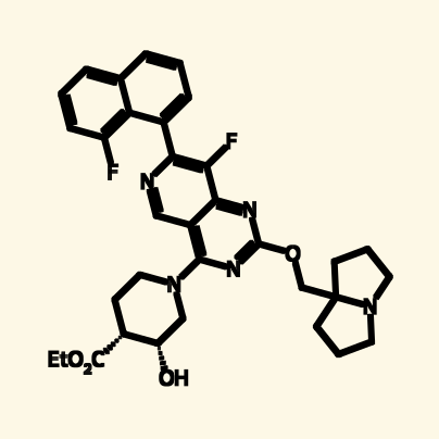 CCOC(=O)[C@@H]1CCN(c2nc(OCC34CCCN3CCC4)nc3c(F)c(-c4cccc5cccc(F)c45)ncc23)C[C@@H]1O